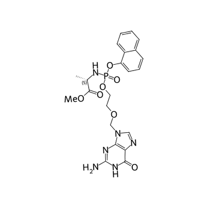 COC(=O)[C@H](C)NP(=O)(OCCOCn1cnc2c(=O)[nH]c(N)nc21)Oc1cccc2ccccc12